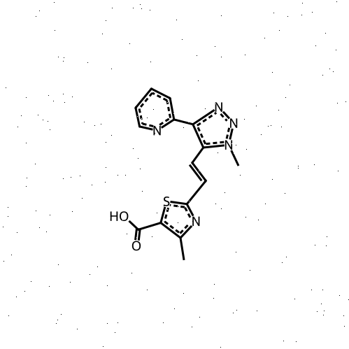 Cc1nc(C=Cc2c(-c3ccccn3)nnn2C)sc1C(=O)O